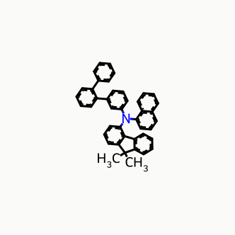 CC1(C)c2ccccc2-c2c(N(c3cccc(-c4ccccc4-c4ccccc4)c3)c3cccc4ccccc34)cccc21